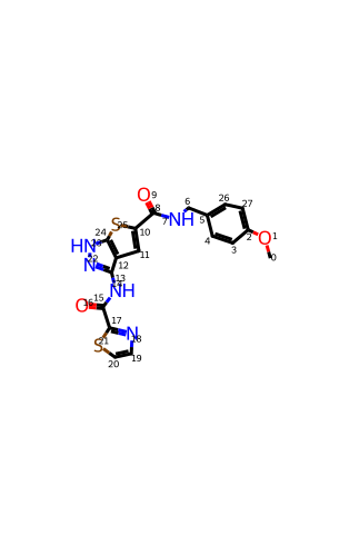 COc1ccc(CNC(=O)c2cc3c(NC(=O)c4nccs4)n[nH]c3s2)cc1